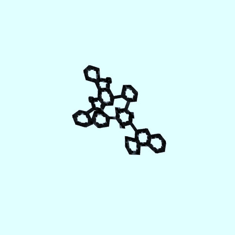 c1ccc(-c2nc(-c3ccccc3-c3cc4nc(-c5ccccc5)oc4c4c3oc3ccccc34)nc(-c3cc4ccccc4c4ccccc34)n2)cc1